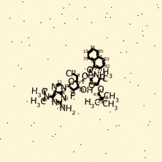 C[C@H](N[P@](=S)(OC[C@@]1(CCl)O[C@@H](n2cnc3c(N(C)C)nc(N)nc32)[C@@H](F)[C@@H]1O)Oc1cccc2ccccc12)C(=O)OCC(C)(C)C